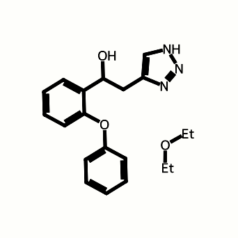 CCOCC.OC(Cc1c[nH]nn1)c1ccccc1Oc1ccccc1